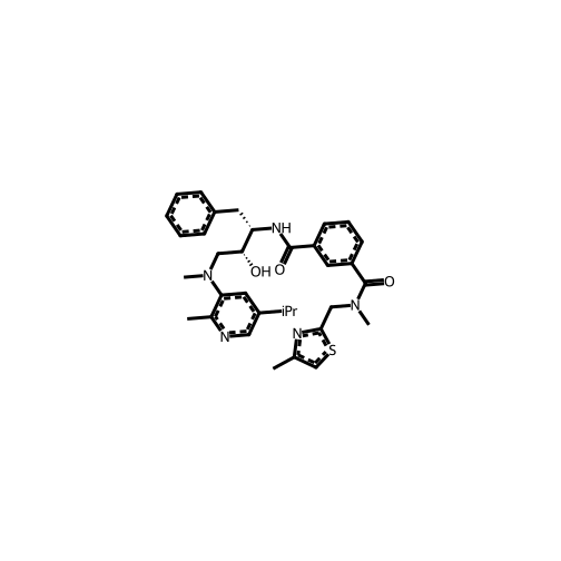 Cc1csc(CN(C)C(=O)c2cccc(C(=O)N[C@@H](Cc3ccccc3)[C@H](O)CN(C)c3cc(C(C)C)cnc3C)c2)n1